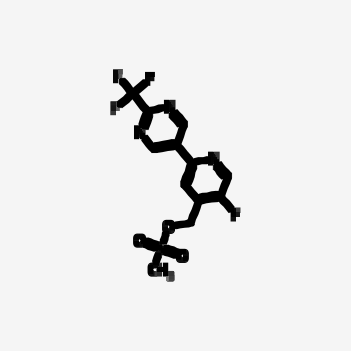 CS(=O)(=O)OCc1cc(-c2cnc(C(F)(F)F)nc2)ncc1F